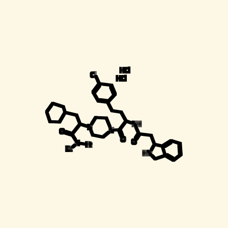 CCN(CC)C(=O)C(CC1CCCCC1)N1CCN(C(=O)C(CCc2ccc(Cl)cc2)NC(=O)CC2NCc3ccccc32)CC1.Cl.Cl